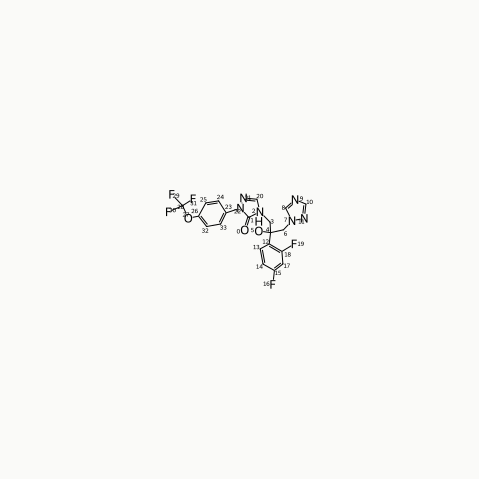 O=c1n(CC(O)(Cn2cncn2)c2ccc(F)cc2F)cnn1-c1ccc(OC(F)(F)F)cc1